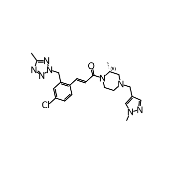 Cc1nnn(Cc2cc(Cl)ccc2C=CC(=O)N2CCN(Cc3cnn(C)c3)C[C@H]2C)n1